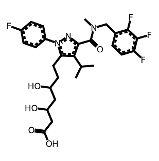 CC(C)c1c(C(=O)N(C)Cc2ccc(F)c(F)c2F)nn(-c2ccc(F)cc2)c1CCC(O)CC(O)CC(=O)O